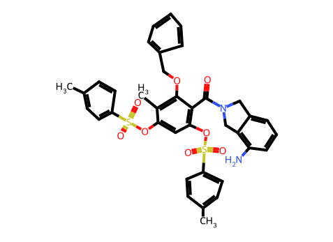 Cc1ccc(S(=O)(=O)Oc2cc(OS(=O)(=O)c3ccc(C)cc3)c(C(=O)N3Cc4cccc(N)c4C3)c(OCc3ccccc3)c2C)cc1